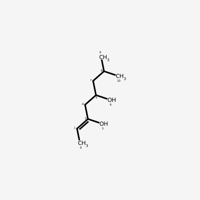 CC=C(O)CC(O)CC(C)C